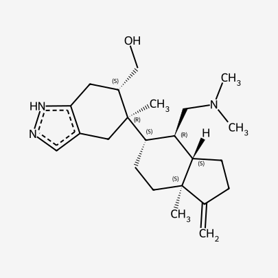 C=C1CC[C@H]2[C@H](CN(C)C)[C@@H]([C@@]3(C)Cc4cn[nH]c4C[C@@H]3CO)CC[C@]12C